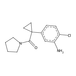 Nc1cc(C2(C(=O)N3CCCC3)CC2)ccc1Cl